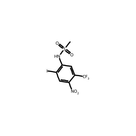 CS(=O)(=O)Nc1cc(C(F)(F)F)c([N+](=O)[O-])cc1I